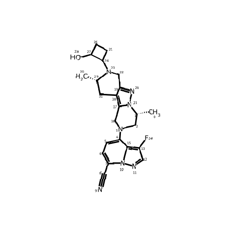 C[C@@H]1CN(c2ccc(C#N)n3ncc(F)c23)Cc2c3c(nn21)CN(C1CCC1O)[C@@H](C)C3